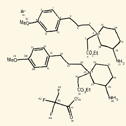 CCOC(=O)C[N+]1(CCCc2ccc(OC)cc2)CCCC(N)C1.CCOC(=O)C[N+]1(CCCc2ccc(OC)cc2)CCCC(N)C1.O=C([O-])C(F)(F)F.[Br-]